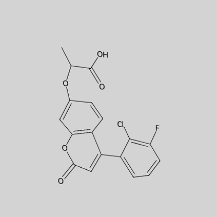 CC(Oc1ccc2c(-c3cccc(F)c3Cl)cc(=O)oc2c1)C(=O)O